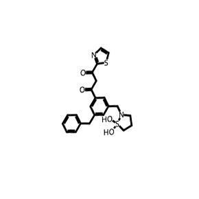 O=C(CC(=O)c1nccs1)c1cc(Cc2ccccc2)cc(CN2CCCS2(O)O)c1